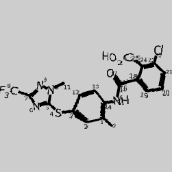 Cc1cc(Sc2nc(C(F)(F)F)nn2C)ccc1NC(=O)c1cccc(Cl)c1C(=O)O